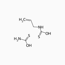 C=CCNC(O)=S.NC(O)=S